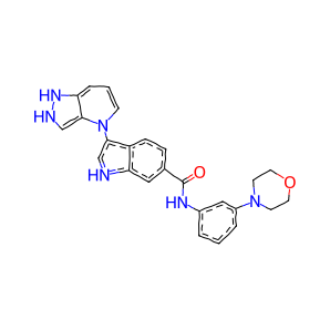 O=C(Nc1cccc(N2CCOCC2)c1)c1ccc2c(N3C=CC=C4NNC=C43)c[nH]c2c1